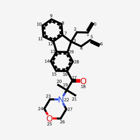 C=CCC1(CC=C)c2ccccc2-c2ccc(C(=O)C(C)(C)N3CCOCC3)cc21